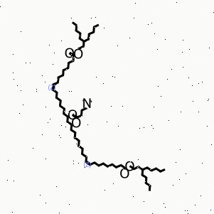 CCCCCC(CCCCC)CCOC(=O)CCCCCCC/C=C\CCCCCCCCC(CCCCCCCC/C=C\CCCCCCCC(=O)OCCC(CCCCC)CCCCC)OC(=O)CCCN(C)C